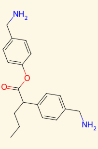 CCCC(C(=O)Oc1ccc(CN)cc1)c1ccc(CN)cc1